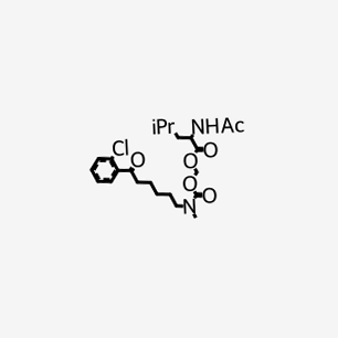 CC(=O)NC(CC(C)C)C(=O)OCOC(=O)N(C)CCCCCC(=O)c1ccccc1Cl